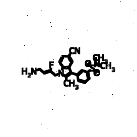 Cc1c(-c2cccc(S(=O)(=O)N(C)C)c2)c2cc(C#N)ccc2n1CC(F)=CCN